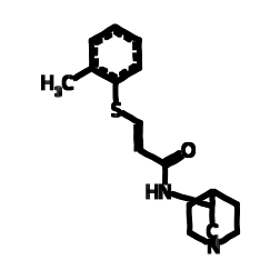 Cc1ccccc1SC=CC(=O)NC1CN2CCC1CC2